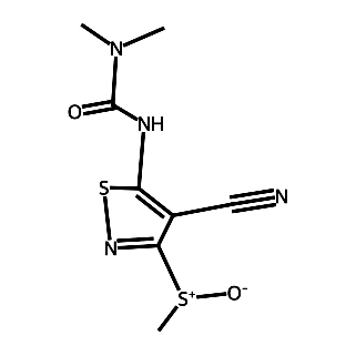 CN(C)C(=O)Nc1snc([S+](C)[O-])c1C#N